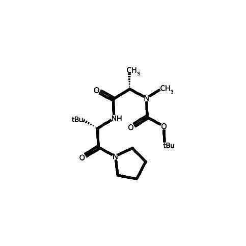 C[C@@H](C(=O)N[C@H](C(=O)N1CCCC1)C(C)(C)C)N(C)C(=O)OC(C)(C)C